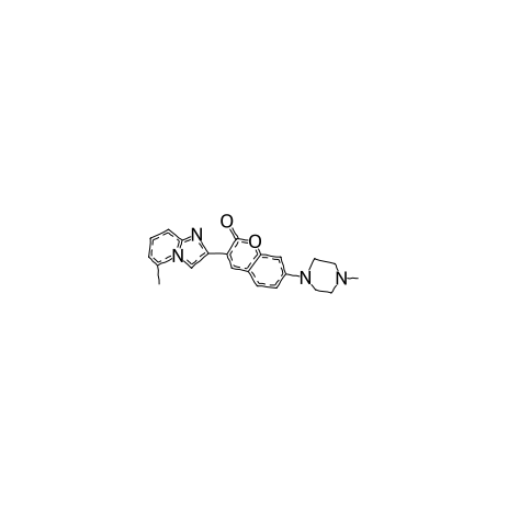 Cc1cccc2nc(-c3cc4ccc(N5CCN(C)CC5)cc4oc3=O)cn12